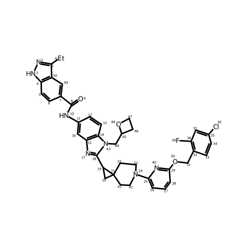 CCc1n[nH]c2ccc(C(=O)Nc3ccc4c(c3)nc(C3CC35CCN(c3cccc(OCc6ccc(Cl)cc6F)n3)CC5)n4CC3CCO3)cc12